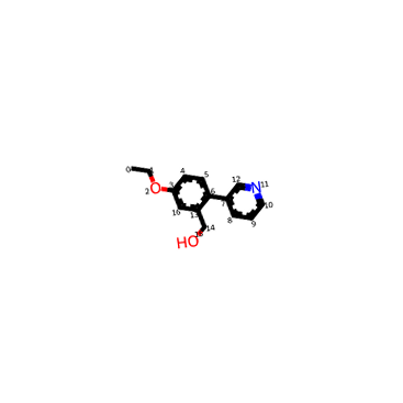 CCOc1ccc(-c2cccnc2)c(CO)c1